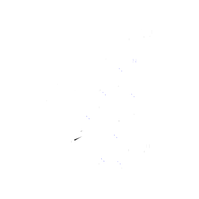 CC[C@@H]1c2nnc(C)n2-c2cnc(-n3ccc(C(=O)O)n3)nc2N1C1CCCC1